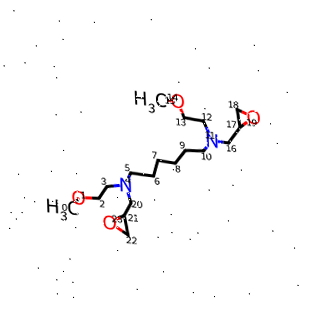 COCCN(CCCCCCN(CCOC)CC1CO1)CC1CO1